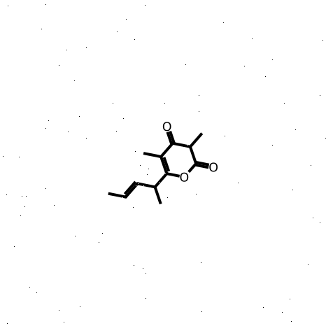 CC=CC(C)C1=C(C)C(=O)C(C)C(=O)O1